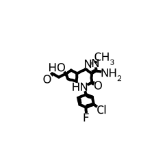 Cn1nc(C2CCC(O)(CC=O)C2)c(C(=O)Nc2ccc(F)c(Cl)c2)c1N